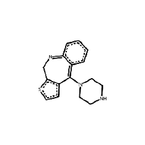 c1ccc2c(c1)=NCc1sccc1C=2N1CCNCC1